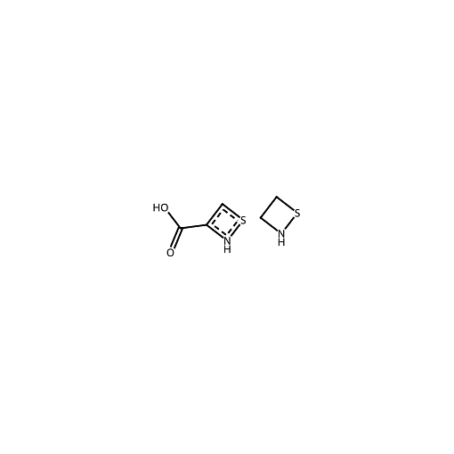 C1CSN1.O=C(O)c1cs[nH]1